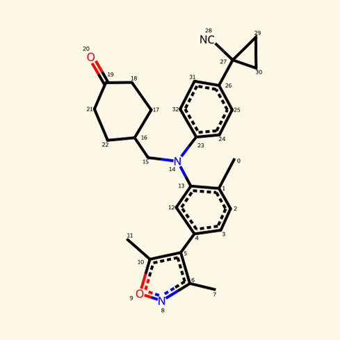 Cc1ccc(-c2c(C)noc2C)cc1N(CC1CCC(=O)CC1)c1ccc(C2(C#N)CC2)cc1